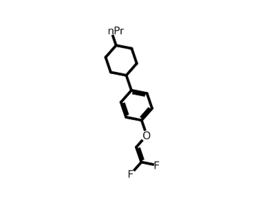 CCCC1CCC(c2ccc(OC=C(F)F)cc2)CC1